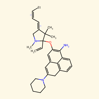 C=CC1(Oc2cc3c4c(cccc4c2N)CC(N2CCCCC2)=C3)N(C)C/C(=C\C=C/CC)C1(C)C